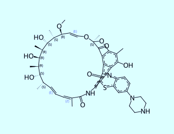 CO[C@H]1/C=C/O[C@@]2(C)Oc3c(C)c(O)c4c(=O)c(c5sc6cc(N7CCNCC7)ccc6nc-5c4c3C2=O)NC(=O)/C(C)=C\C=C\[C@H](C)[C@H](O)[C@@H](C)[C@@H](O)[C@@H](C)[C@H](O)[C@@H]1C